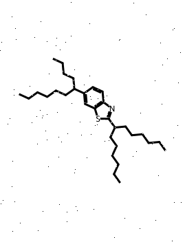 CCCCCCC(CCCC)c1ccc2nc(C(CCCCCC)CCCCCC)sc2c1